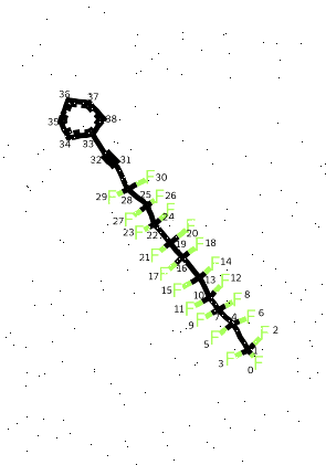 FC(F)(F)C(F)(F)C(F)(F)C(F)(F)C(F)(F)C(F)(F)C(F)(F)C(F)(F)C(F)(F)C(F)(F)C#Cc1ccccc1